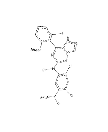 CCN(c1nc(-c2c(F)cccc2OC)c2[nH]ncc2n1)c1cc([S+](C)[O-])c(Cl)cc1Cl